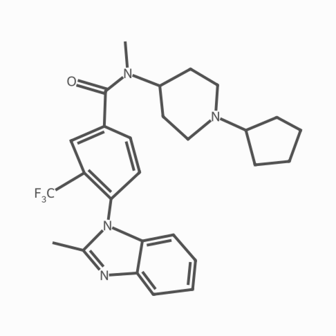 Cc1nc2ccccc2n1-c1ccc(C(=O)N(C)C2CCN(C3CCCC3)CC2)cc1C(F)(F)F